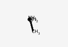 CCCCCCCCCCCCOc1cccc(N)c1N